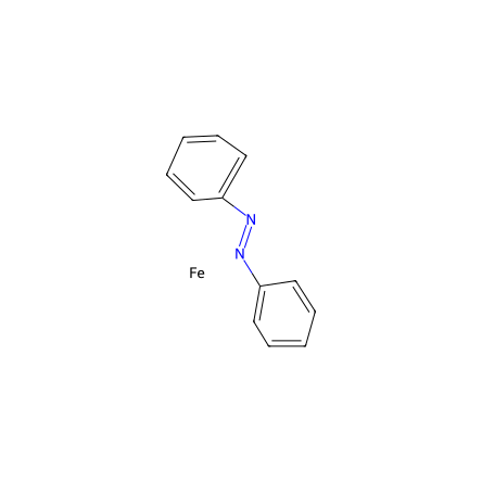 [Fe].c1ccc(/N=N/c2ccccc2)cc1